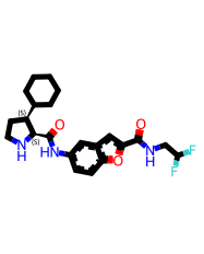 O=C(NCC(F)F)c1cc2cc(NC(=O)[C@H]3NCC[C@H]3C3CCCCC3)ccc2o1